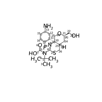 CC(C)(C)N(C(=O)O)C1=N[C@@]2(c3cc(N)ccc3F)CO[C@@H](CO)C[C@H]2CS1